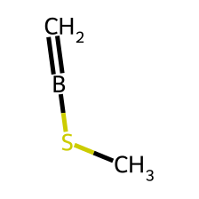 C=BSC